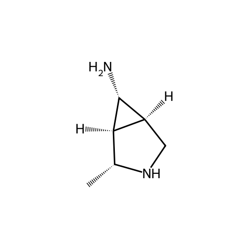 C[C@H]1NC[C@@H]2[C@@H](N)[C@@H]21